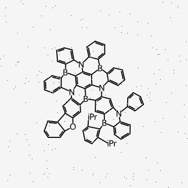 CC(C)c1cccc(C(C)C)c1B1c2ccccc2N(c2ccccc2)c2cc3c(cc21)B1c2cc4oc5ccccc5c4cc2N2c4ccccc4B4c5ccccc5N5c6ccccc6B6c7ccccc7N3c3c6c5c4c2c31